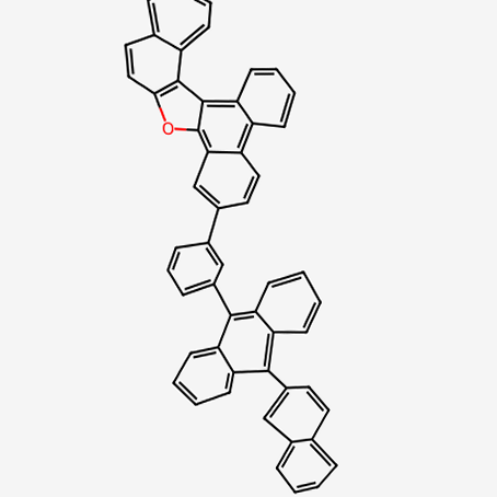 c1cc(-c2ccc3c4ccccc4c4c(oc5ccc6ccccc6c54)c3c2)cc(-c2c3ccccc3c(-c3ccc4ccccc4c3)c3ccccc23)c1